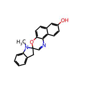 CN1c2ccccc2CC12C=Nc1c(ccc3cc(O)ccc13)O2